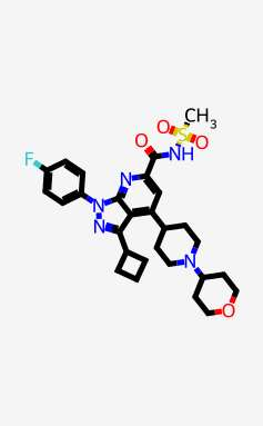 CS(=O)(=O)NC(=O)c1cc(C2CCN(C3CCOCC3)CC2)c2c(C3CCC3)nn(-c3ccc(F)cc3)c2n1